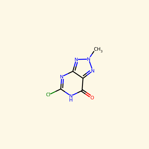 Cn1nc2nc(Cl)[nH]c(=O)c2n1